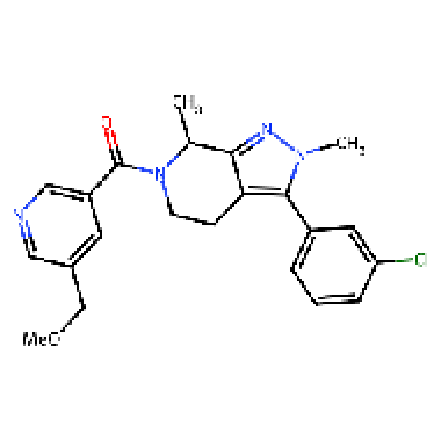 COCc1cncc(C(=O)N2CCc3c(nn(C)c3-c3cccc(Cl)c3)C2C)c1